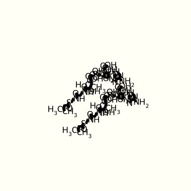 CC(C)=CC(=O)SCCNC(=O)CCNC(=O)[C@H](O)C(C)(C)COP(=O)(O)OP(=O)(O)OC[C@H]1O[C@@H](n2cnc3c(N)ncnc32)[C@H](O)[C@@H]1OP(=O)(O)O.CC(C)=CC(=O)SCCNC(=O)CCNC(=O)[C@H](O)C(C)(C)COP(=O)(O)OP(=O)(O)OC[C@H]1O[C@@H](n2cnc3c(N)ncnc32)[C@H](O)[C@@H]1OP(=O)(O)O